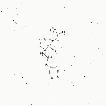 CCC(NC(=O)Cc1ccccc1)C(=O)OCC(C)C